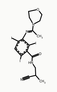 CC(=Nc1c(I)cc(I)c(C(=O)NCC(C)C#N)c1I)N1CCOCC1